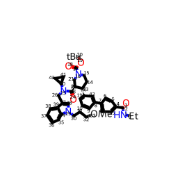 CCNC(=O)c1ccc(-c2cccc([C@H]3CCN(C(=O)OC(C)(C)C)C[C@@H]3C(=O)N(Cc3cn(CCCOC)c4ccccc34)C3CC3)c2)cc1